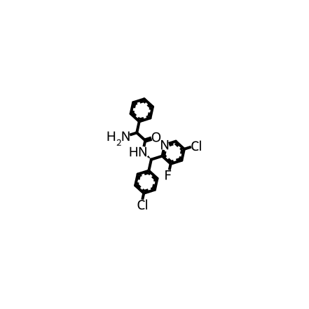 NC(C(=O)N[C@@H](c1ccc(Cl)cc1)c1ncc(Cl)cc1F)c1ccccc1